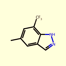 Cc1cc(C(F)(F)F)c2[nH]ncc2c1